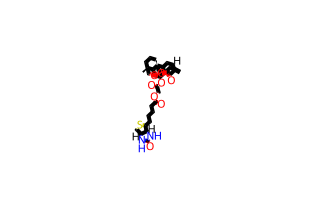 C=C1C(=O)[C@]23CC[C@H]1CC2[C@@]12CCC[C@@](C)(COC1=O)C2C[C@H]3OC(=O)COC(=O)CCCCC1SC[C@H]2NC(=O)N[C@@H]12